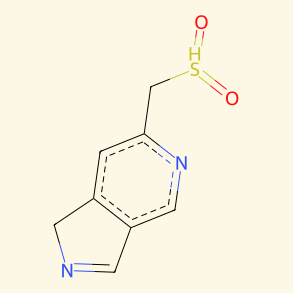 O=[SH](=O)Cc1cc2c(cn1)C=NC2